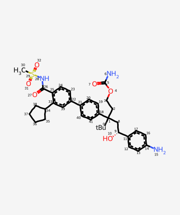 CC(C)(C)C(CCOC(N)=O)(C[C@@H](O)c1ccc(N)cc1)c1ccc(-c2ccc(C(=O)NS(C)(=O)=O)c(C3CCCC3)c2)cc1